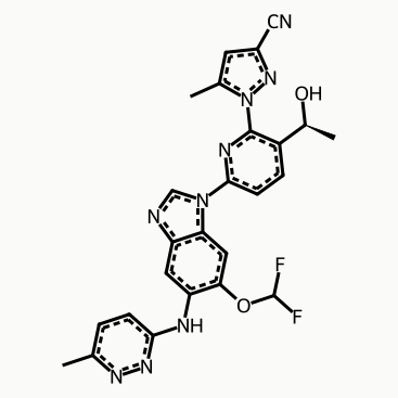 Cc1ccc(Nc2cc3ncn(-c4ccc([C@H](C)O)c(-n5nc(C#N)cc5C)n4)c3cc2OC(F)F)nn1